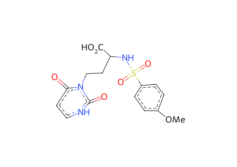 COc1ccc(S(=O)(=O)NC(CCn2c(=O)cc[nH]c2=O)C(=O)O)cc1